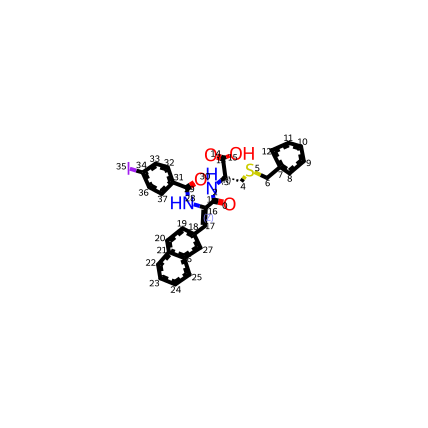 O=C(N[C@@H](CSCc1ccccc1)C(=O)O)/C(=C/c1ccc2ccccc2c1)NC(=O)c1ccc(I)cc1